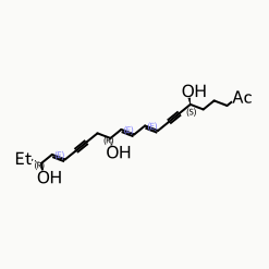 CC[C@@H](O)/C=C/C#CC[C@@H](O)/C=C/C=C/C#C[C@@H](O)CCCC(C)=O